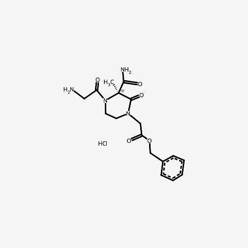 C[C@]1(C(N)=O)C(=O)N(CC(=O)OCc2ccccc2)CCN1C(=O)CN.Cl